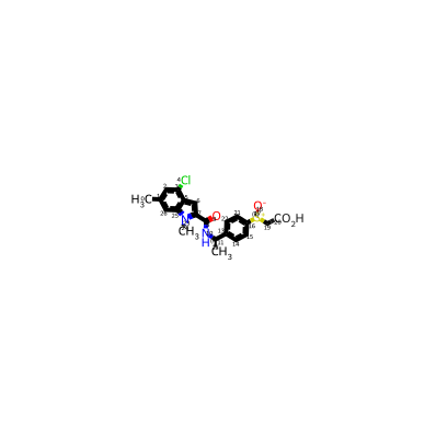 Cc1cc(Cl)c2cc(C(=O)N[C@H](C)c3ccc([S@@+]([O-])CC(=O)O)cc3)n(C)c2c1